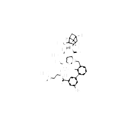 CCC[C@@H](CN(C)C)NC(=O)c1cc(-c2cccc(CN3O[C@@H](CO)[C@H]([C@H](C)O)[C@H]3C(=O)N[C@H]3C[C@H]4C[C@@H]([C@@H]3C)C4(C)C)c2OC)cc(C(C)(C)C)c1